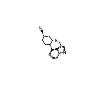 N#C[C@H]1CC[C@@H](c2cccn3ncc(Br)c23)CC1